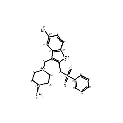 CN1CCN(Cc2c(CS(=O)(=O)c3ccccc3)[nH]c3ccc(Br)cc23)CC1